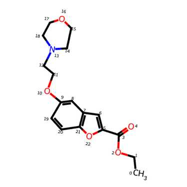 CCOC(=O)c1cc2cc(OCCN3CCOCC3)ccc2o1